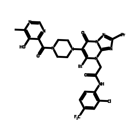 CCc1c(N2CCN(C(=O)c3ncnc(C)c3O)CC2)c(=O)n2nc(C(C)C)nc2n1CC(=O)Nc1ccc(C(F)(F)F)cc1Cl